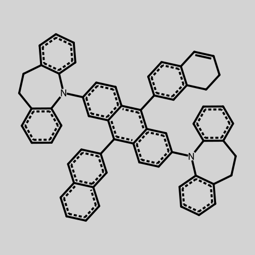 C1=Cc2ccc(-c3c4ccc(N5c6ccccc6CCc6ccccc65)cc4c(-c4ccc5ccccc5c4)c4ccc(N5c6ccccc6CCc6ccccc65)cc34)cc2CC1